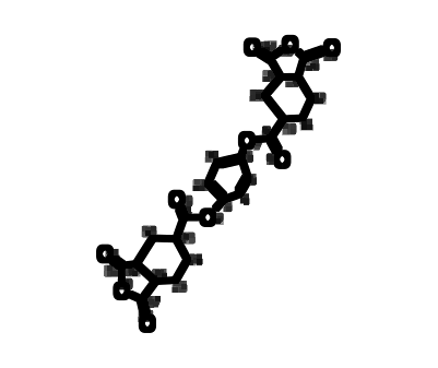 O=C(Oc1ccc(OC(=O)C2CCC3C(=O)OC(=O)C3C2)cc1)C1CCC2C(=O)OC(=O)C2C1